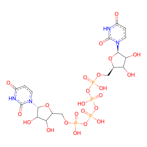 O=c1ccn([C@@H]2OC(COP(=O)(O)OP(=O)(O)OP(=O)(O)OP(=O)(O)OC[C@H]3O[C@@H](n4ccc(=O)[nH]c4=O)C(O)C3O)C(O)C2O)c(=O)[nH]1